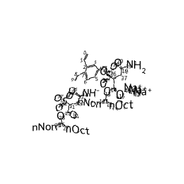 C=Cc1ccccc1C=C.CCCCCCCCCC(CCCCCCCC)OC(=O)C(CC(N)=O)S(=O)(=O)[O-].CCCCCCCCCC(CCCCCCCC)OC(=O)C(CC([NH-])=O)S(=O)(=O)[O-].[Na+].[Na+].[Na+]